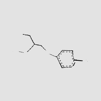 CCCCOC(CBr)COc1ccc(C#N)cc1